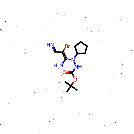 CC(C)(C)OC(=O)NN(/C(N)=C(\Br)C=N)C1CCCC1